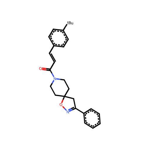 CC(C)(C)c1ccc(C=CC(=O)N2CCC3(CC2)CC(c2ccccc2)=NO3)cc1